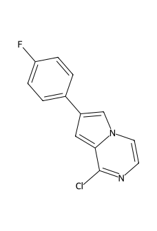 Fc1ccc(-c2cc3c(Cl)nccn3c2)cc1